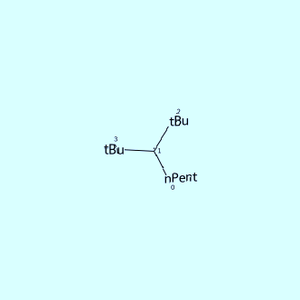 CCCCC[C](C(C)(C)C)C(C)(C)C